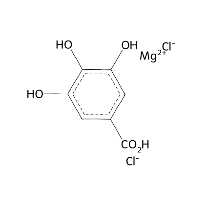 O=C(O)c1cc(O)c(O)c(O)c1.[Cl-].[Cl-].[Mg+2]